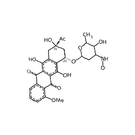 COc1cccc2c1C(=O)c1c(O)c3c(c(O)c1C2=O)C[C@@](O)(C(C)=O)C[C@@H]3OC1CC(N[O])C(O)C(C)O1